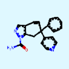 NC(=O)n1n[c]c2c1CC(c1ccccc1)(c1ccncc1)C=C2